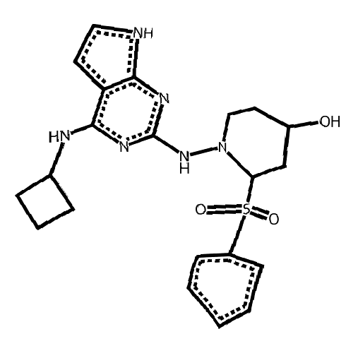 O=S(=O)(c1ccccc1)C1CC(O)CCN1Nc1nc(NC2CCC2)c2cc[nH]c2n1